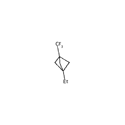 CCC12CC(C(F)(F)F)(C1)C2